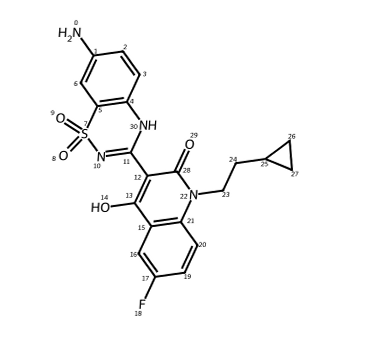 Nc1ccc2c(c1)S(=O)(=O)N=C(c1c(O)c3cc(F)ccc3n(CCC3CC3)c1=O)N2